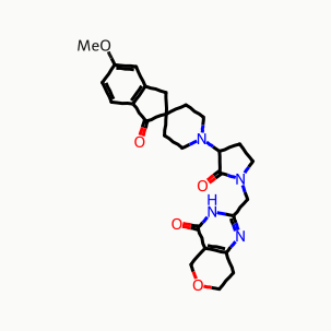 COc1ccc2c(c1)CC1(CCN(C3CCN(Cc4nc5c(c(=O)[nH]4)COCC5)C3=O)CC1)C2=O